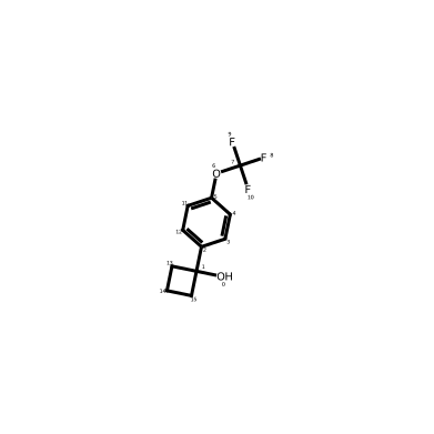 OC1(c2ccc(OC(F)(F)F)cc2)CCC1